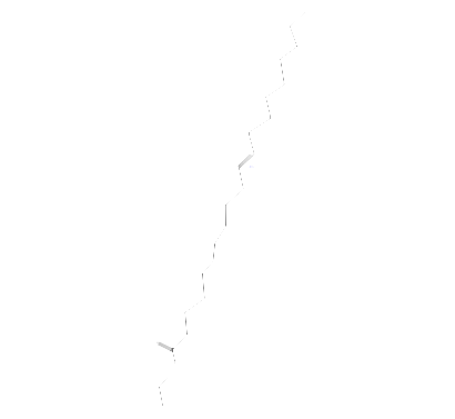 CCCCCCCC/C=C/CCCCCCCCCC(=O)OCC